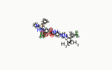 CC1(C)CCC(CN2CCN(c3ccc(C(=O)NS(=O)(=O)c4ccc(NC(CCN5CCCC5)CSc5ccccc5)c(S(=O)(=O)C(F)(F)F)c4)cc3)CC2)=C(C2CC(C(F)F)C3CC23)C1